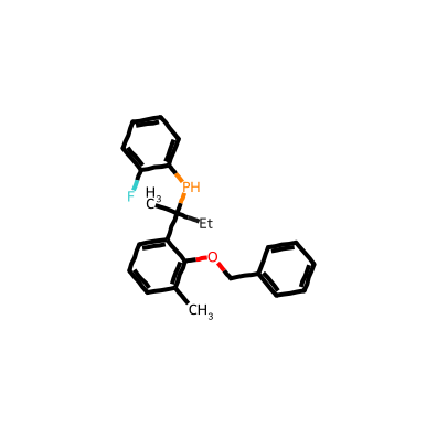 CCC(C)(Pc1ccccc1F)c1cccc(C)c1OCc1ccccc1